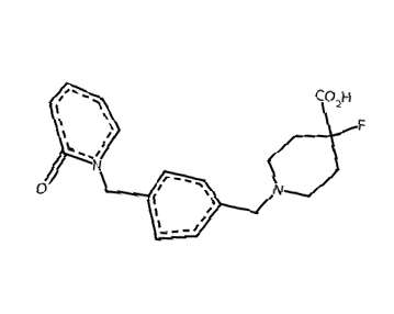 O=C(O)C1(F)CCN(Cc2ccc(Cn3ccccc3=O)cc2)CC1